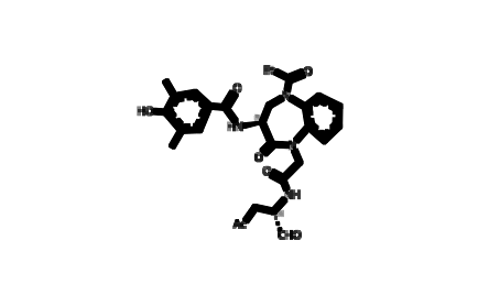 CCC(=O)N1C[C@H](NC(=O)c2cc(C)c(O)c(C)c2)C(=O)N(CC(=O)N[C@H](C=O)CC(C)=O)c2ccccc21